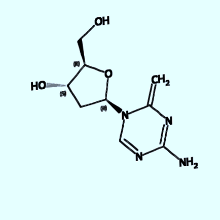 C=C1N=C(N)N=CN1[C@H]1C[C@H](O)[C@@H](CO)O1